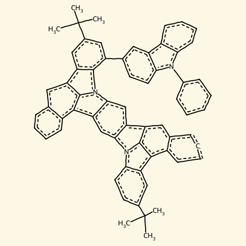 CC(C)(C)c1ccc2c(c1)c1c3ccccc3cc3c4cc5c(cc4n2c31)c1c2ccccc2cc2c3cc(C(C)(C)C)cc(-c4ccc6c(c4)c4ccccc4n6-c4ccccc4)c3n5c21